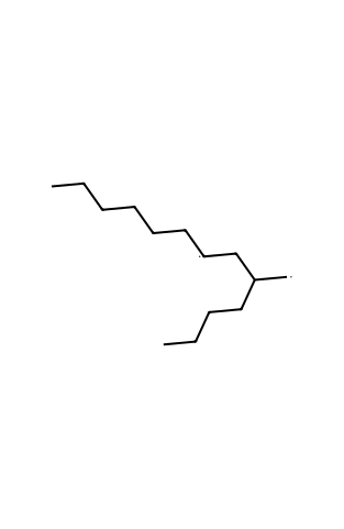 [CH2]C(C[CH]CCCCCC)CCCC